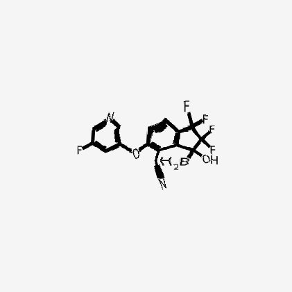 BC1(O)c2c(ccc(Oc3cncc(F)c3)c2C#N)C(F)(F)C1(F)F